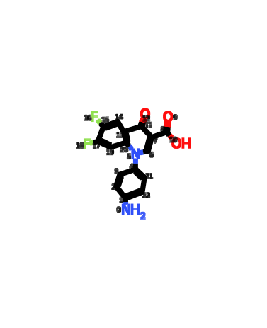 Nc1ccc(-n2cc(C(=O)O)c(=O)c3cc(F)c(F)cc32)cc1